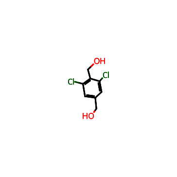 OCc1cc(Cl)c(CO)c(Cl)c1